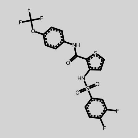 O=C(Nc1ccc(OC(F)(F)F)cc1)c1sccc1NS(=O)(=O)c1ccc(F)c(F)c1